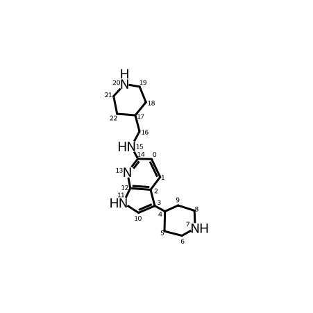 c1cc2c(C3CCNCC3)c[nH]c2nc1NCC1CCNCC1